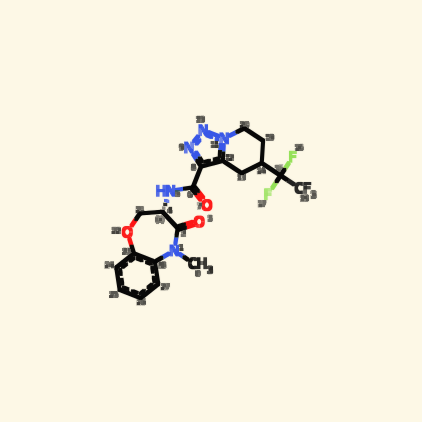 CN1C(=O)[C@@H](NC(=O)c2nnn3c2CC(C(F)(F)C(F)(F)F)CC3)COc2ccccc21